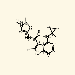 Cc1oc2ncnc(NC3(C)CC3)c2c1C(=O)NC1=CN(C)NO1